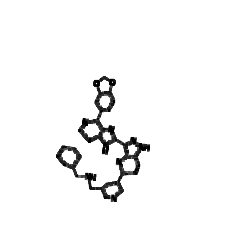 c1ccc(CNCc2cncc(-c3ccc4[nH]nc(-c5nc6c(-c7ccc8c(c7)OCO8)nccc6[nH]5)c4n3)c2)cc1